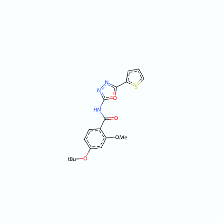 COc1cc(OC(C)(C)C)ccc1C(=O)Nc1nnc(-c2cccs2)o1